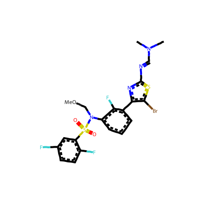 COCN(c1cccc(-c2nc(N=CN(C)C)sc2Br)c1F)S(=O)(=O)c1cc(F)ccc1F